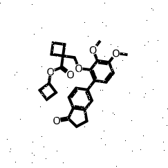 COc1ccc(-c2ccc3c(c2)CCC3=O)c(OCC2(C(=O)OC3CCC3)CCC2)c1OC